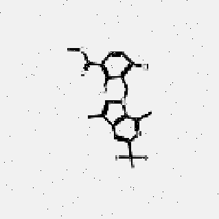 COC(=O)c1ccc(Cl)c(Cn2cc(C)c3cc(C(F)(F)F)nc(C)c32)c1Cl